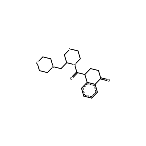 O=C1CCC(C(=O)N2CCSCC2CN2CCOCC2)c2ccccc21